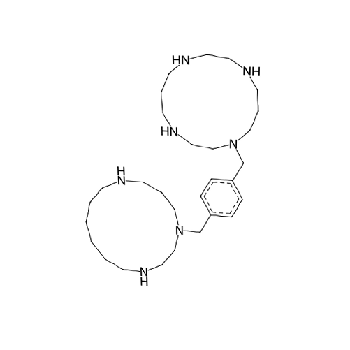 c1cc(CN2CCCNCCNCCCNCC2)ccc1CN1CCCNCCCCCCNCC1